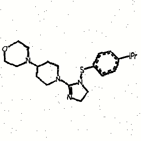 CC(C)c1ccc(SN2CCN=C2N2CCC(N3CCOCC3)CC2)cc1